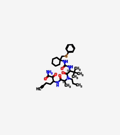 C#CCCC(NC(=O)[C@H](C)N(CCC)C(=O)[C@@H](NC(=O)NC1(CSc2ccccc2)CCCCC1)C(C)(C)C)C(=O)C(N)=O